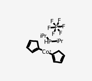 C1=CC[C]([Co+][C]2=CC=CC2)=C1.CC(C)PC(C)C.F[P-](F)(F)(F)(F)F